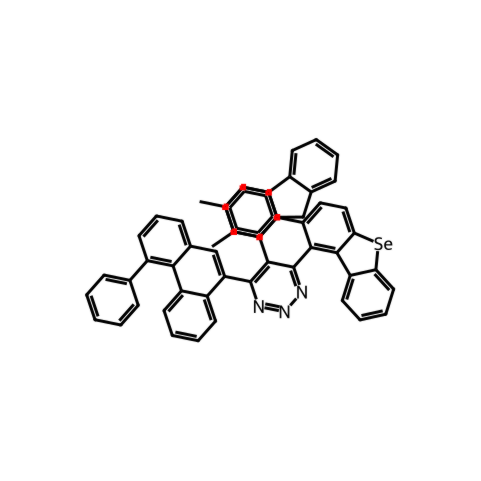 Cc1cc2c(c(-c3c(-c4cc5cccc(-c6ccccc6)c5c5ccccc45)nnnc3-c3c(-c4ccccc4)ccc4[se]c5ccccc5c34)c1C)Cc1ccccc1-2